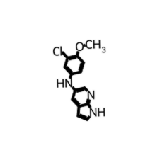 COc1ccc(Nc2cnc3[nH]ccc3c2)cc1Cl